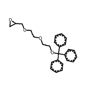 c1ccc(C(OCCOCCOCC2CO2)(c2ccccc2)c2ccccc2)cc1